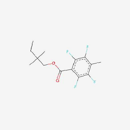 CCC(C)(C)COC(=O)c1c(F)c(F)c(C)c(F)c1F